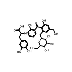 NC(Cc1ccc(O)c(O)c1)C(=O)O.O=C1c2c(O)cccc2[C@@H]([C@@H]2O[C@H](CO)[C@@H](O)[C@H](O)[C@H]2O)c2cc(CO)cc(O)c21